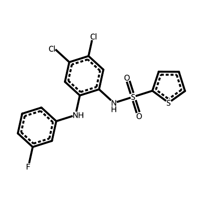 O=S(=O)(Nc1cc(Cl)c(Cl)cc1Nc1cccc(F)c1)c1cccs1